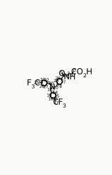 O=C(O)CCNC(=O)c1ccc(CN(Cc2ccc(C(F)(F)F)cc2)Cc2ccc(C(F)(F)F)cc2)cc1